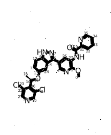 COc1ncc(-c2n[nH]c3ccc(O[C@H](C)c4c(Cl)cncc4Cl)cc23)cc1NC(=O)c1ccccn1